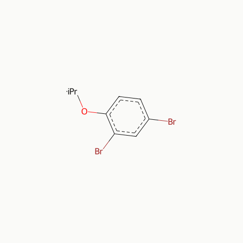 C[C](C)Oc1ccc(Br)cc1Br